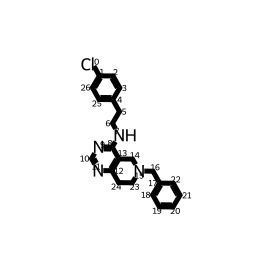 Clc1ccc(CCNc2ncnc3c2CN(Cc2ccccc2)CC3)cc1